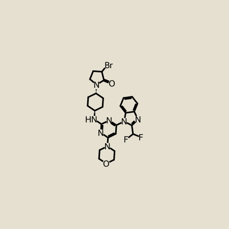 O=C1C(Br)CCN1[C@H]1CC[C@H](Nc2nc(N3CCOCC3)cc(-n3c(C(F)F)nc4ccccc43)n2)CC1